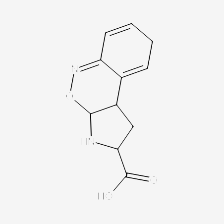 O=C(O)C1CC2C3=CCC=CC3=NOC2N1